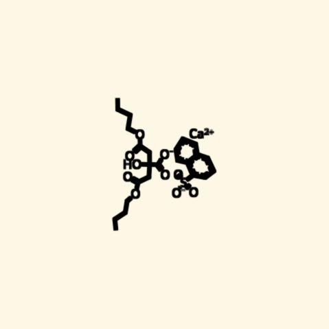 CCCCOC(=O)CC(O)(CC(=O)OCCCC)C(=O)[O-].O=S(=O)([O-])c1cccc2ccccc12.[Ca+2]